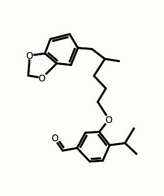 CC(CCCOc1cc(C=O)ccc1C(C)C)Cc1ccc2c(c1)OCO2